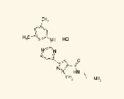 Cc1cc(C)cc(Nc2nccc(-c3cc(C(=O)NCCN)n(C)n3)n2)c1.Cl